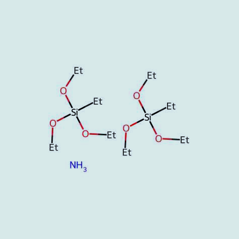 CCO[Si](CC)(OCC)OCC.CCO[Si](CC)(OCC)OCC.N